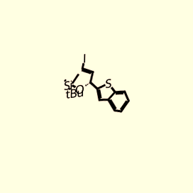 CC(C)(C)[Si](C)(C)O[C@H](/C=C/I)c1cc2ccccc2s1